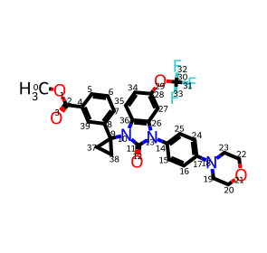 COC(=O)c1cccc(C2(n3c(=O)n(-c4ccc(N5CCOCC5)cc4)c4cc(OC(F)(F)F)ccc43)CC2)c1